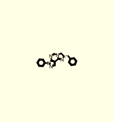 C1=Nc2c(cnn2-c2ccccc2)C2=N[C@@H](Cc3ccccc3)CN12